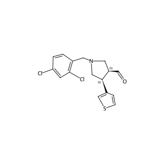 O=C[C@@H]1CN(Cc2ccc(Cl)cc2Cl)C[C@@H]1c1ccsc1